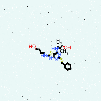 CC(C)(CO)Nc1nc(SCc2ccccc2)nc2nc(NCCCCO)sc12